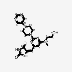 CN(CCO)c1cc(C=C2SC(=O)NC2=O)nc(N2CCN(c3cncnc3)CC2)n1